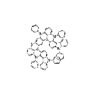 c1ccc(N2c3cc4c(cc3B3c5ccc6c(c5N(c5ccccc5)c5cccc2c53)c2ccccc2n6-c2ccccc2)B2c3ccc5c(c3N(c3ccccc3)c3cccc(c32)S4)c2ccccc2n5-c2ccccc2)cc1